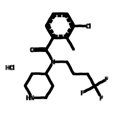 Cc1c(Cl)cccc1C(=O)N(CCCC(F)(F)F)C1CCNCC1.Cl